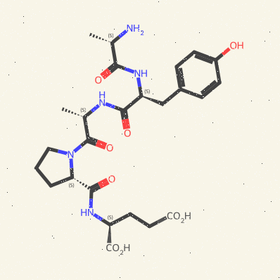 C[C@H](N)C(=O)N[C@@H](Cc1ccc(O)cc1)C(=O)N[C@@H](C)C(=O)N1CCC[C@H]1C(=O)N[C@@H](CCC(=O)O)C(=O)O